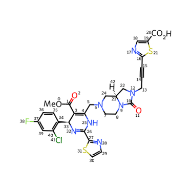 COC(=O)C1=C(CN2CCN3C(=O)N(CC#Cc4ncc(C(=O)O)s4)C[C@@H]3C2)NC(c2nccs2)=N[C@H]1c1ccc(F)cc1Cl